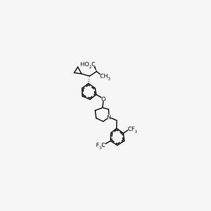 C[C@H](C(=O)O)[C@H](c1cccc(OC2CCCN(Cc3cc(C(F)(F)F)ccc3C(F)(F)F)C2)c1)C1CC1